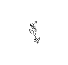 CC(C)(C)OC(=O)NCCCOc1ccc(F)cc1C1CCCN1c1ccn2ncc(CO)c2n1